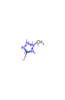 Cn1nnc(I)n1